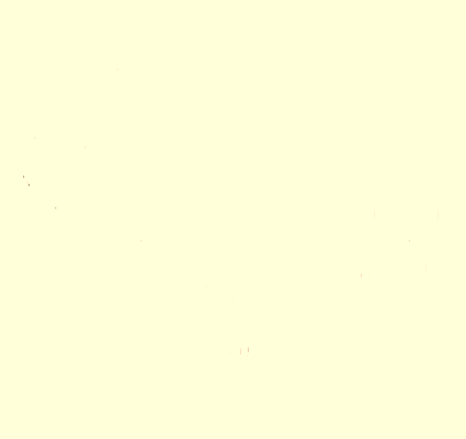 C[S+]([O-])c1cc(OC(F)(F)F)ccc1Cc1ccccc1C(=O)c1cnoc1C1CC1